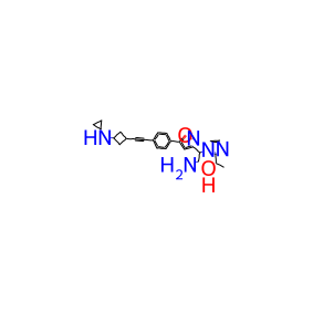 CC(O)c1nccn1C(CN)c1cc(-c2ccc(C#CC3CC(NC4CC4)C3)cc2)on1